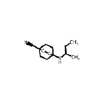 CCC(C)NC12CCC(C#N)(CC1)CC2